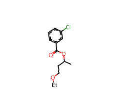 CCOCCC(C)OC(=O)c1cccc(Cl)c1